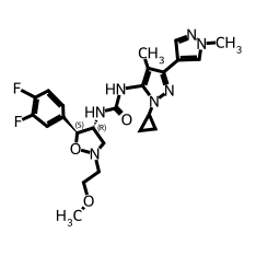 COCCN1C[C@@H](NC(=O)Nc2c(C)c(-c3cnn(C)c3)nn2C2CC2)[C@H](c2ccc(F)c(F)c2)O1